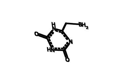 BCc1nc(=O)[nH]c(=O)[nH]1